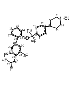 CC[C@H]1CC[C@H](c2ccc(C(F)(F)Oc3ccccc3-c3cc(F)c(OC(F)F)c(F)c3)cc2)CC1